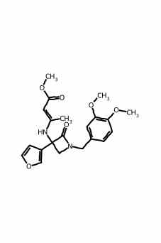 COC(=O)C=C(C)NC1(c2ccoc2)CN(Cc2ccc(OC)c(OC)c2)C1=O